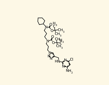 CC(C)(C)OC(=O)N(CCCN(C(=O)OC(C)(C)C)C1CCCCC1)CCCn1cc(CNc2nc(N)cc(Cl)n2)nn1